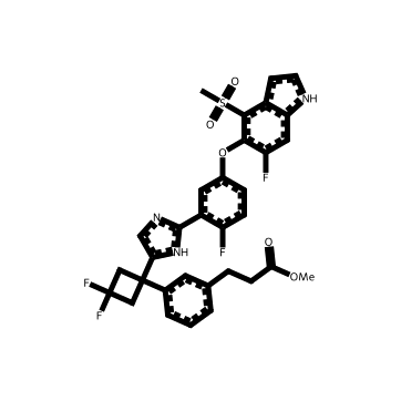 COC(=O)CCc1cccc(C2(c3cnc(-c4cc(Oc5c(F)cc6[nH]ccc6c5S(C)(=O)=O)ccc4F)[nH]3)CC(F)(F)C2)c1